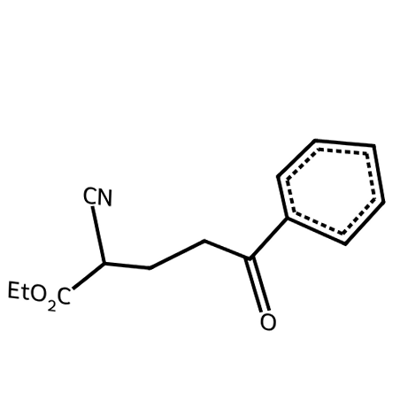 CCOC(=O)C(C#N)CCC(=O)c1ccccc1